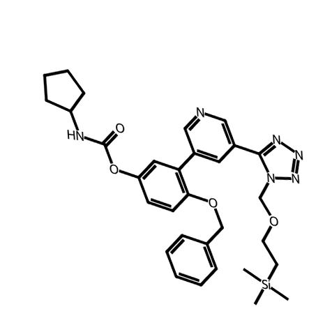 C[Si](C)(C)CCOCn1nnnc1-c1cncc(-c2cc(OC(=O)NC3CCCC3)ccc2OCc2ccccc2)c1